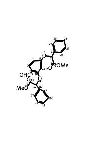 COC(=O)C(Oc1ccc([C]=O)c(OC(C(=O)OC)c2ccccc2)c1)c1ccccc1